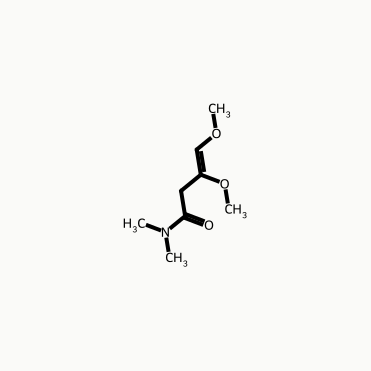 COC=C(CC(=O)N(C)C)OC